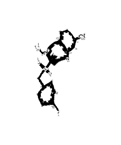 Cn1c(S(=O)(=O)Cc2ccc(F)cc2)nc2cc(Cl)ccc21